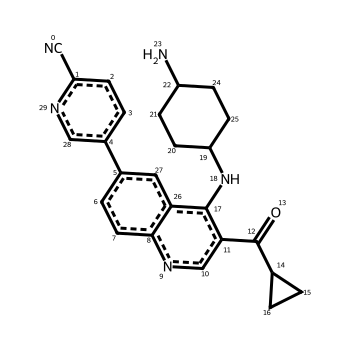 N#Cc1ccc(-c2ccc3ncc(C(=O)C4CC4)c(NC4CCC(N)CC4)c3c2)cn1